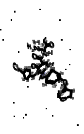 CC(=O)N(N)NC(=O)c1c[nH]/c(=N\c2ccc(Oc3ccon3)cc2)n(Cc2ccc(Cl)cc2)c1=O